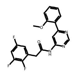 COc1ccccc1-c1cc(NC(=O)Cc2cc(F)cc(F)c2F)ncn1